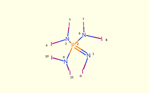 IN=P(N(I)I)(N(I)I)N(I)I